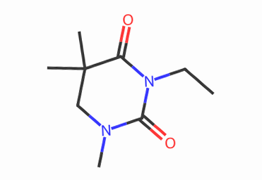 CCN1C(=O)N(C)CC(C)(C)C1=O